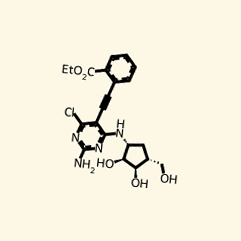 CCOC(=O)c1ccccc1C#Cc1c(Cl)nc(N)nc1N[C@@H]1C[C@H](CO)[C@@H](O)[C@H]1O